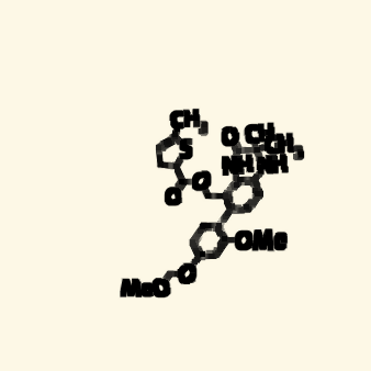 COCOc1ccc(-c2ccc3c(c2COC(=O)C2CC=C(C)S2)NC(=O)C(C)(C)N3)c(OC)c1